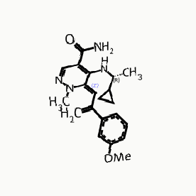 C=C(/C=C1/C(N[C@H](C)C2CC2)=C(C(N)=O)C=NN1C)c1cccc(OC)c1